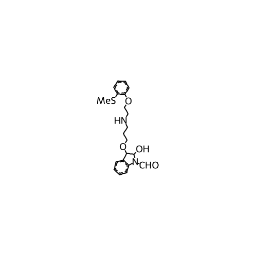 CSc1ccccc1OCCNCCCOC1c2ccccc2N(C=O)C1O